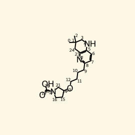 CC1(C)CNc2ccc(CCCCOC3CCN(C(=O)O)C3)nc2C1